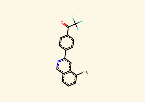 Cc1cccc2cnc(-c3ccc(C(=O)C(F)(F)F)cc3)cc12